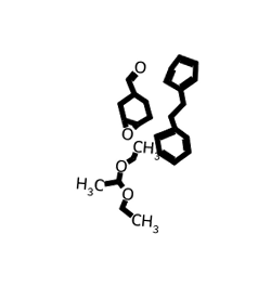 CCOC(C)OCC.O=CC1CCC2OC2C1.c1ccc(CCc2ccccc2)cc1